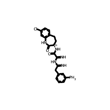 N=C(Cc1cccc(P)c1)NC(=N)C(=O)N[C@H]1CCc2ccc(Cl)cc2NC1=O